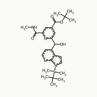 CNC(=O)c1cc(C(=O)OC(C)(C)C)cc(C(O)c2ccnc3c2ccn3[Si](C)(C)C(C)(C)C)n1